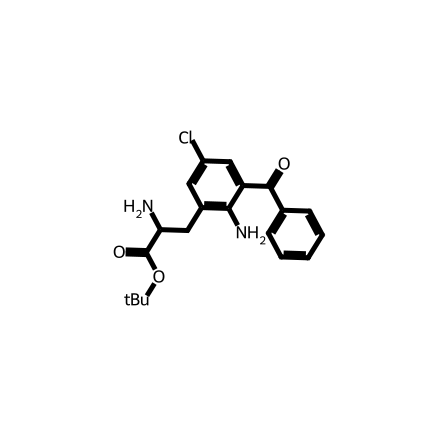 CC(C)(C)OC(=O)C(N)Cc1cc(Cl)cc(C(=O)c2ccccc2)c1N